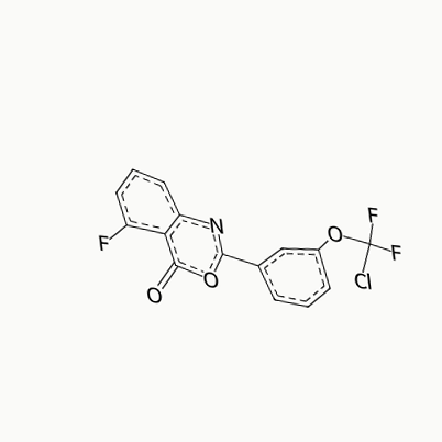 O=c1oc(-c2cccc(OC(F)(F)Cl)c2)nc2cccc(F)c12